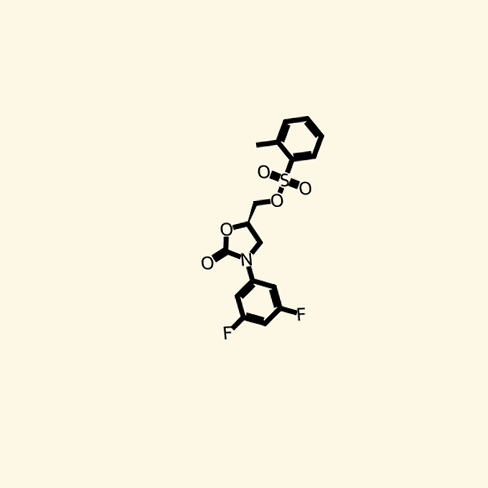 Cc1ccccc1S(=O)(=O)OC[C@H]1CN(c2cc(F)cc(F)c2)C(=O)O1